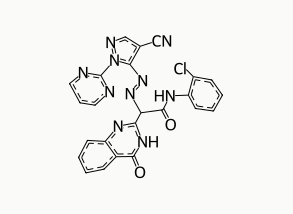 N#Cc1cnn(-c2ncccn2)c1N=NC(C(=O)Nc1ccccc1Cl)c1nc2ccccc2c(=O)[nH]1